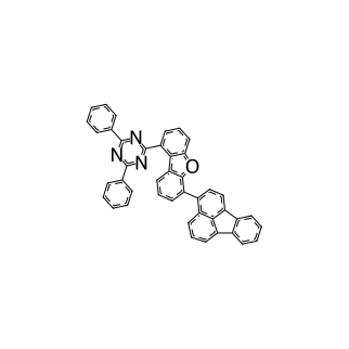 c1ccc(-c2nc(-c3ccccc3)nc(-c3cccc4oc5c(-c6ccc7c8c(cccc68)-c6ccccc6-7)cccc5c34)n2)cc1